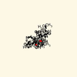 CC(C)CNc1nc2c(ncn2[C@@H]2O[C@H](COP(=O)(OCCC#N)O[C@@H]3[C@H](O[Si](O[Si](O)(C(C)C)C(C)C)(C(C)C)C(C)C)[C@@H](CO)O[C@H]3n3cc(F)c4c(=O)[nH]cnc43)[C@@H](O[PH](=O)O)[C@H]2F)c(=O)[nH]1